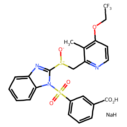 Cc1c(OCC(F)(F)F)ccnc1C[S+]([O-])c1nc2ccccc2n1S(=O)(=O)c1cccc(C(=O)O)c1.[NaH]